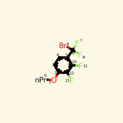 CCCOc1ccc(C(F)(F)Br)c(F)c1F